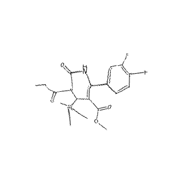 CCC(=O)N1C(=O)NC(c2ccc(F)c(F)c2)=C(C(=O)OC)C1[Si](C)(C)C